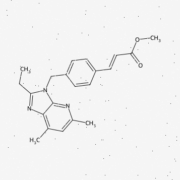 CCc1nc2c(C)cc(C)nc2n1Cc1ccc(/C=C/C(=O)OC)cc1